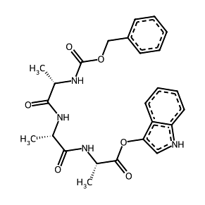 C[C@H](NC(=O)OCc1ccccc1)C(=O)N[C@@H](C)C(=O)N[C@@H](C)C(=O)Oc1c[nH]c2ccccc12